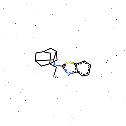 CC(C)(C)CC12CC3CC(C1)C(Nc1nc4ccccc4s1)C(C3)C2